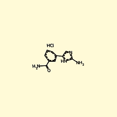 Cl.NC(=O)c1cccc(-c2cnc(N)[nH]2)c1